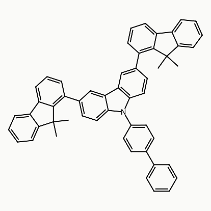 CC1(C)c2ccccc2-c2cccc(-c3ccc4c(c3)c3cc(-c5cccc6c5C(C)(C)c5ccccc5-6)ccc3n4-c3ccc(-c4ccccc4)cc3)c21